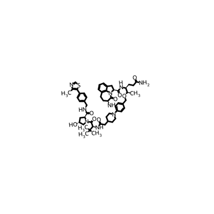 Cc1ncsc1-c1ccc(CNC(=O)[C@@H]2C[C@@H](O)CN2C(=O)[C@@H](NC(=O)CC2CCN(c3ccc(CO[C@H](C)[C@H](CCC(N)=O)NC(=O)[C@@H]4Cc5cccc6c5N4C(=O)[C@@H](N)CC6)cc3)CC2)C(C)(C)C)cc1